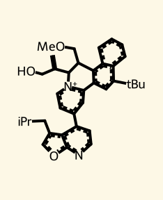 C=C(CO)C1C(COC)c2c(cc(C(C)(C)C)c3ccccc23)-c2cc(-c3ccnc4occ(CC(C)C)c34)cc[n+]21